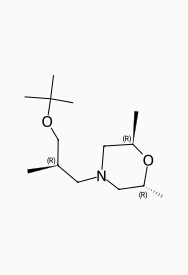 C[C@@H](COC(C)(C)C)CN1C[C@@H](C)O[C@H](C)C1